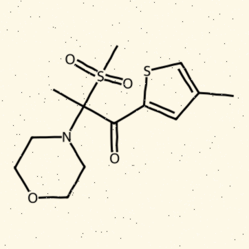 Cc1csc(C(=O)C(C)(N2CCOCC2)S(C)(=O)=O)c1